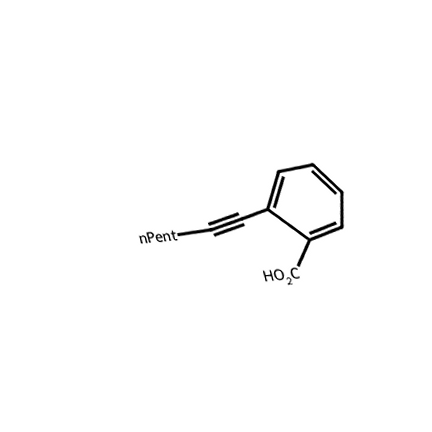 CCCCCC#Cc1ccccc1C(=O)O